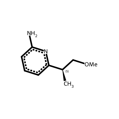 COC[C@@H](C)c1cccc(N)n1